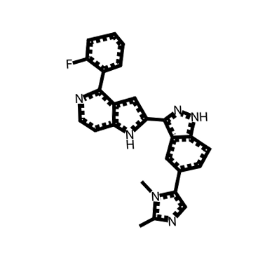 Cc1ncc(-c2ccc3[nH]nc(-c4cc5c(-c6ccccc6F)nccc5[nH]4)c3c2)n1C